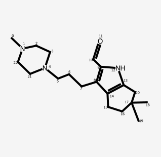 CN1CCN(CCCc2c(C=O)[nH]c3c2CCC(C)(C)C3)CC1